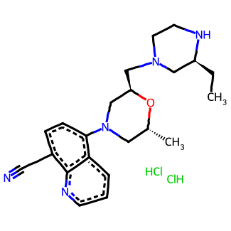 CC[C@H]1CN(C[C@@H]2CN(c3ccc(C#N)c4ncccc34)C[C@@H](C)O2)CCN1.Cl.Cl